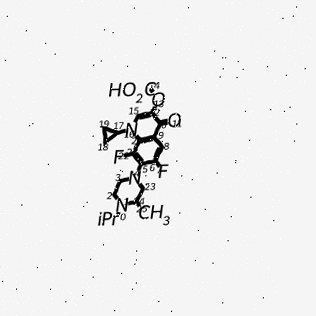 CC(C)N1CCN(c2c(F)cc3c(=O)c(OC(=O)O)cn(C4CC4)c3c2F)CC1C